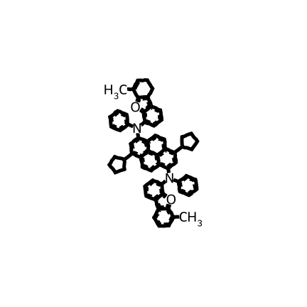 CC1=CCCc2c1oc1c(N(c3ccccc3)c3cc(C4CCCC4)c4ccc5c(N(c6ccccc6)c6cccc7c6oc6c(C)cccc67)cc(C6CCCC6)c6ccc3c4c65)cccc21